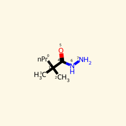 CCCC(C)(C)C(=O)NN